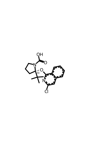 CC(C)(C)[C@@]1(Oc2nc(Cl)cc3ccccc23)CCCN1C(=O)O